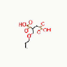 [CH2]CCOCC(CS(=O)(=O)O)S(=O)(=O)O